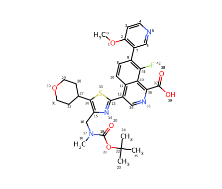 COc1ccncc1-c1ccc2c(-c3nc(CN(C)C(=O)OC(C)(C)C)c(C4CCOCC4)s3)cnc(C(=O)O)c2c1F